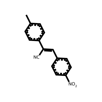 Cc1ccc(C(C#N)=Cc2ccc([N+](=O)[O-])cc2)cc1